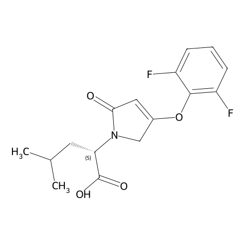 CC(C)C[C@@H](C(=O)O)N1CC(Oc2c(F)cccc2F)=CC1=O